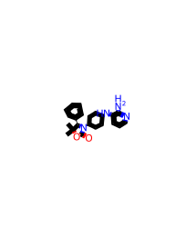 CC1(C)OC(=O)N([C@H]2CC[C@H](Nc3cccnc3N)CC2)[C@H]1c1ccccc1